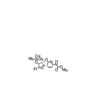 CC[C@H]1O[C@@H](C2C=CC(NC(=O)OC(C)(C)C)=NC2=O)CC1O[Si](C)(C)C(C)(C)C